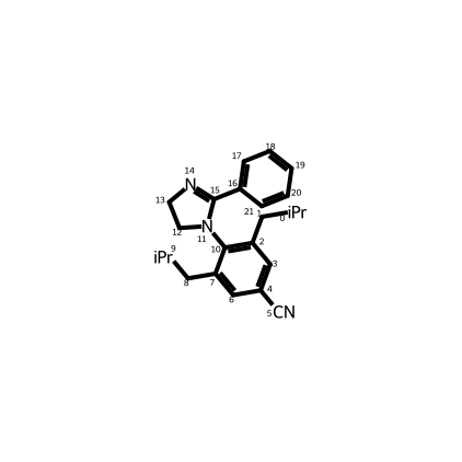 CC(C)Cc1cc(C#N)cc(CC(C)C)c1N1CCN=C1c1ccccc1